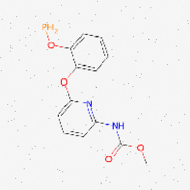 COC(=O)Nc1cccc(Oc2ccccc2OP)n1